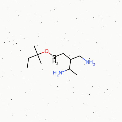 CCC(C)(C)O[SiH2]CC(CN)C(C)N